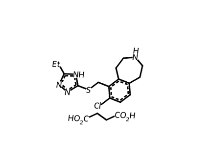 CCc1nnc(SCc2c(Cl)ccc3c2CCNCC3)[nH]1.O=C(O)CCC(=O)O